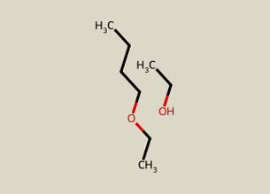 CCCCOCC.CCO